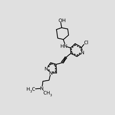 CN(C)CCn1cc(C#Cc2cnc(Cl)cc2NC2CCC(O)CC2)cn1